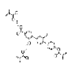 C=C(C)C(=O)OCCOC(=O)c1ccc(-c2ccc(-c3ccc(OC(=O)C(=C)C)cc3)c(CC)c2)c(OCCOC(=O)C(=C)C)c1